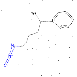 [2H]C(CCCN=[N+]=[N-])c1ccccc1